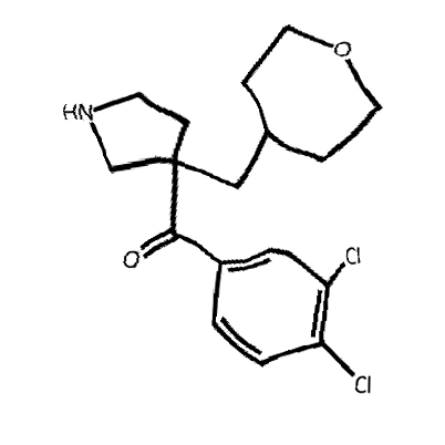 O=C(c1ccc(Cl)c(Cl)c1)C1(CC2CCOCC2)CCNC1